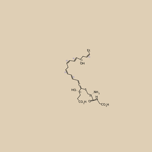 CC/C=C\C[C@H](O)/C=C/C=C\C/C=C\C=C\C=C=C(SC[C@H](N)C(=O)NCC(=O)O)[C@@H](O)CCC(=O)O